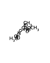 Cc1ccc(C(NC(=O)Cc2cccc(N3CCC(S(C)(=O)=O)CC3)c2)c2ccc(C)o2)c(N2CCCCC2)c1